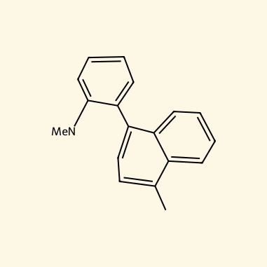 CNc1ccccc1-c1ccc(C)c2ccccc12